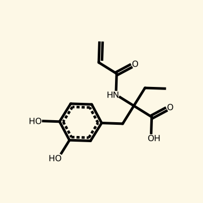 C=CC(=O)NC(CC)(Cc1ccc(O)c(O)c1)C(=O)O